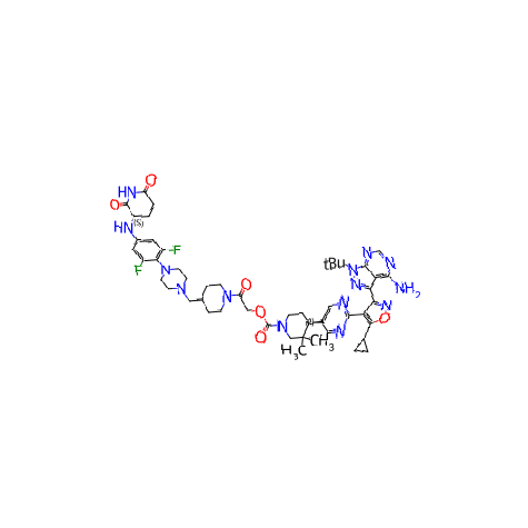 CC1(C)CN(C(=O)OCC(=O)N2CCC(CN3CCN(c4c(F)cc(N[C@H]5CCC(=O)NC5=O)cc4F)CC3)CC2)CC[C@H]1c1cnc(-c2c(-c3nn(C(C)(C)C)c4ncnc(N)c34)noc2C2CC2)nc1